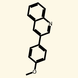 COc1ccc(-c2cnc3ccccc3c2)cc1